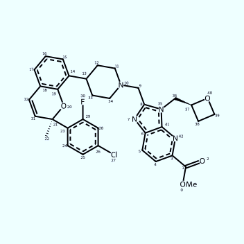 COC(=O)c1ccc2nc(CN3CCC(c4cccc5c4O[C@@](C)(c4ccc(Cl)cc4F)C=C5)CC3)n(C[C@@H]3CCO3)c2n1